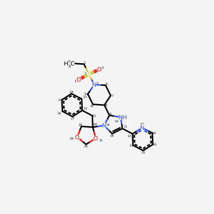 CCS(=O)(=O)N1CCC(C2NC(c3ccccn3)=CN2C2(Cc3ccccc3)COCO2)CC1